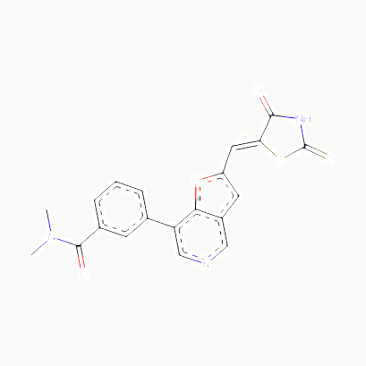 CN(C)C(=O)c1cccc(-c2cncc3cc(/C=C4\SC(=S)NC4=O)oc23)c1